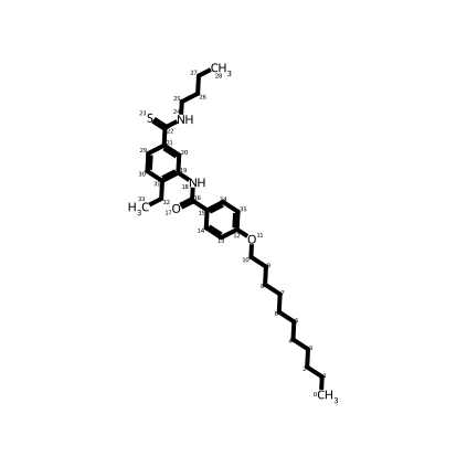 CCCCCCCCCCCOc1ccc(C(=O)Nc2cc(C(=S)NCCCC)ccc2CC)cc1